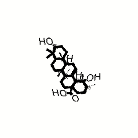 C[C@@H]1CC[C@]2(C(=O)O)CC[C@]3(C)C(=CC[C@@H]4[C@@]5(C)CC[C@@H](O)C(C)(C)C5CC[C@]43C)[C@@H]2[C@]1(C)O